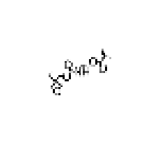 C=C(C)C(=O)OCCNC(=O)OCC1(CC)COC1